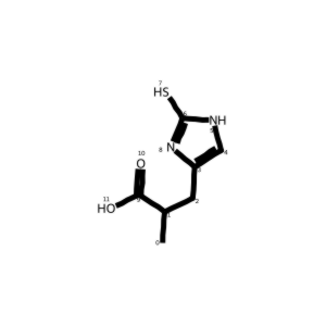 CC(Cc1c[nH]c(S)n1)C(=O)O